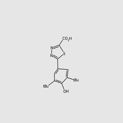 CC(C)(C)c1cc(-c2nnc(C(=O)O)s2)cc(C(C)(C)C)c1O